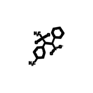 Cc1ccc(C(=C(c2ccccc2)[N+](=O)[O-])S(C)(=O)=O)cc1